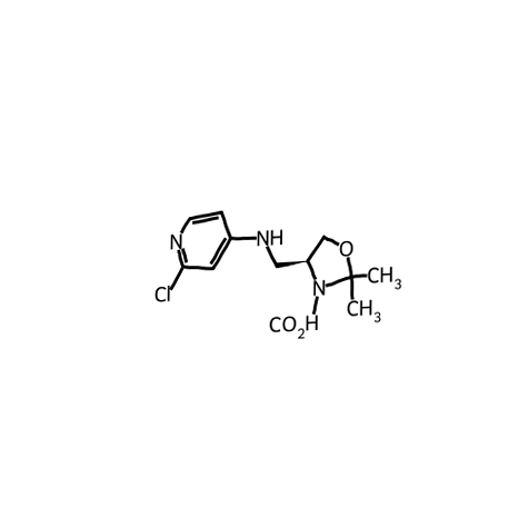 CC1(C)OC[C@H](CNc2ccnc(Cl)c2)N1C(=O)O